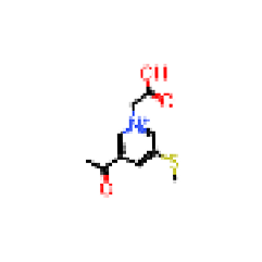 CSc1cc(C(C)=O)c[n+](CC(=O)O)c1